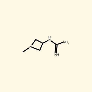 CN1CC(NC(=N)N)C1